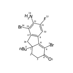 CCCCC12CCC(=O)C(Br)=C1c1cc(F)c(N)c(Br)c1C2